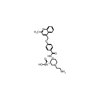 Cc1cc(COc2ccc(C(=O)N[C@@H]3CCN(CCN)C[C@@H]3C(=O)NO)cc2)c2ccccc2n1